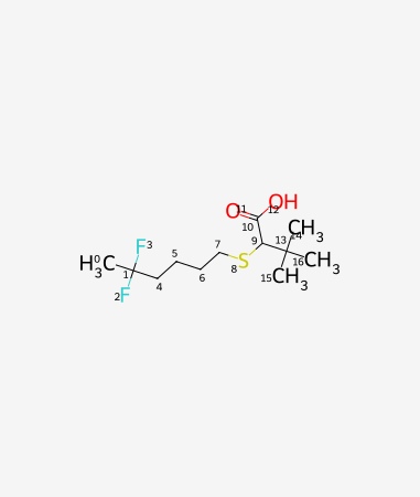 CC(F)(F)CCCCSC(C(=O)O)C(C)(C)C